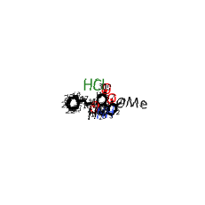 COc1ccc2c3c1OC1C(=O)CC[C@@]4(OCCCc5ccccc5)[C@@H](C2)NCC[C@]314.Cl